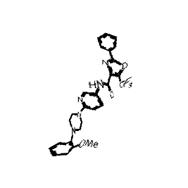 COc1ccccc1N1CCN(c2ccc(NC(=O)c3nc(-c4ccccc4)oc3C(F)(F)F)cn2)CC1